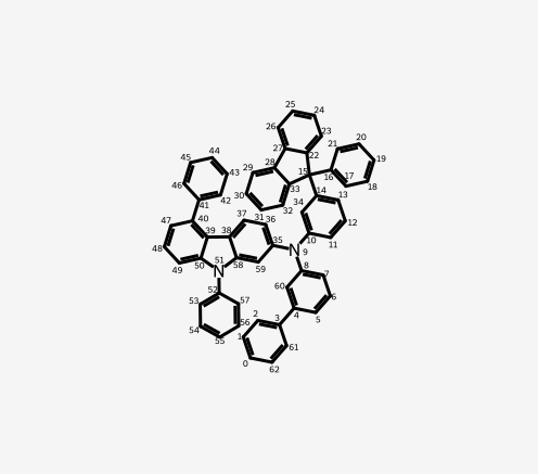 c1ccc(-c2cccc(N(c3cccc(C4(c5ccccc5)c5ccccc5-c5ccccc54)c3)c3ccc4c5c(-c6ccccc6)cccc5n(-c5ccccc5)c4c3)c2)cc1